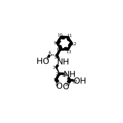 O=C[C@@H](CN[C@H](CO)c1ccccc1)NC(=O)O